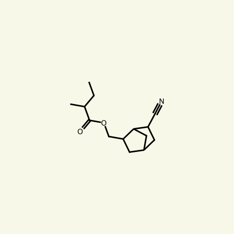 CCC(C)C(=O)OCC1CC2CC(C#N)C1C2